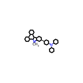 Cn1c2cc(-c3ccc(N(c4ccccc4)c4ccccc4)cc3)ccc2c2c3ccccc3c3ccccc3c21